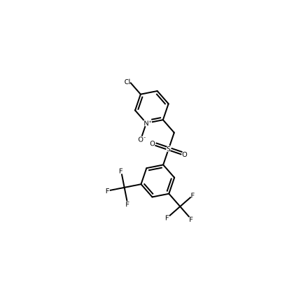 O=S(=O)(Cc1ccc(Cl)c[n+]1[O-])c1cc(C(F)(F)F)cc(C(F)(F)F)c1